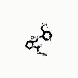 CC(C)(C)OC(=O)N1CCC[C@@]1(C)COc1cnccc1CN